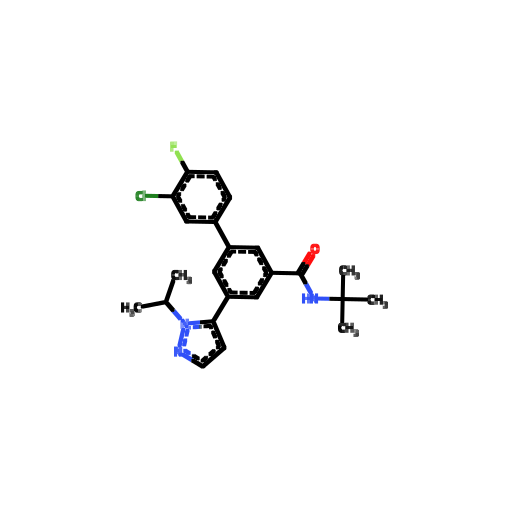 CC(C)n1nccc1-c1cc(C(=O)NC(C)(C)C)cc(-c2ccc(F)c(Cl)c2)c1